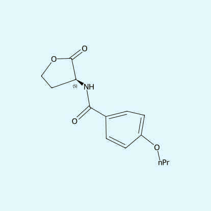 CCCOc1ccc(C(=O)N[C@H]2CCOC2=O)cc1